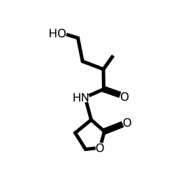 CC(CCO)C(=O)NC1CCOC1=O